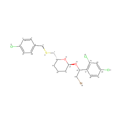 Clc1ccc(CSC[C@H]2CCC[C@H](OC(CBr)c3ccc(Cl)cc3Cl)O2)cc1